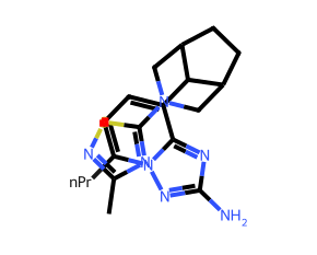 CCCc1ccc(C2C3CCC2CN(c2nc(C)ns2)C3)c2nc(N)nn12